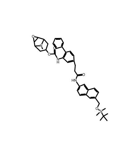 CN1C2CC(OC(=O)Nc3cc(CCC(=O)Nc4ccc5cc(CO[Si](C)(C)C(C)(C)C)ccc5c4)ccc3-c3ccccc3)CC1C1OC12